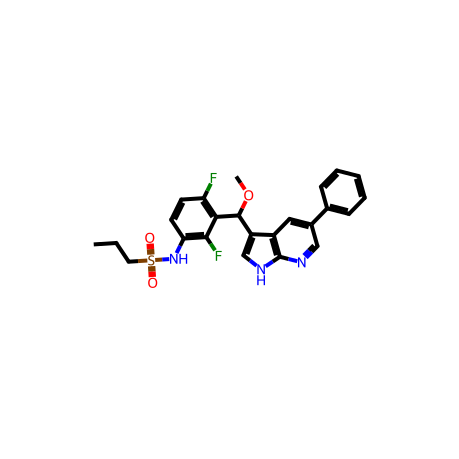 CCCS(=O)(=O)Nc1ccc(F)c(C(OC)c2c[nH]c3ncc(-c4ccccc4)cc23)c1F